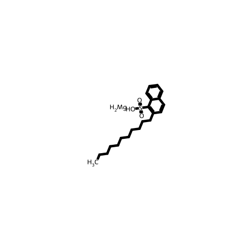 CCCCCCCCCCCc1ccc2ccccc2c1S(=O)(=O)O.[MgH2]